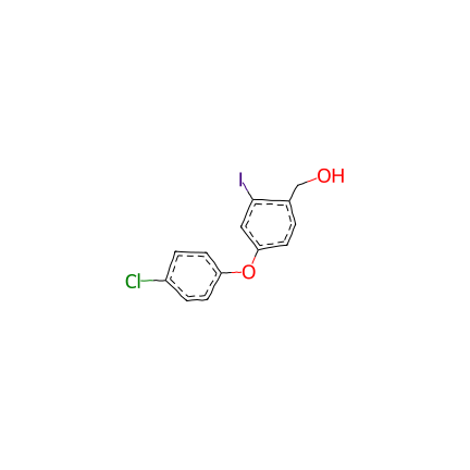 OCc1ccc(Oc2ccc(Cl)cc2)cc1I